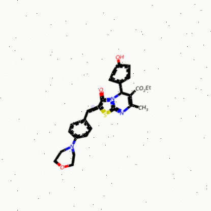 CCOC(=O)C1=C(C)N=c2s/c(=C\c3ccc(N4CCOCC4)cc3)c(=O)n2C1c1ccc(O)cc1